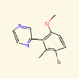 COc1ccc(Br)c(C)c1-c1cnccn1